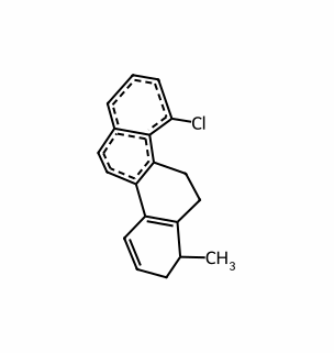 CC1CC=CC2=C1CCc1c2ccc2cccc(Cl)c12